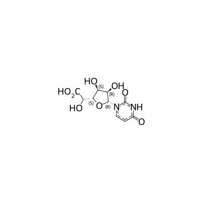 O=C(O)C(O)[C@H]1O[C@@H](n2ccc(=O)[nH]c2=O)[C@H](O)[C@@H]1O